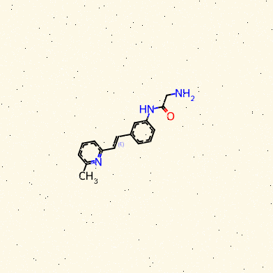 Cc1cccc(/C=C/c2cccc(NC(=O)CN)c2)n1